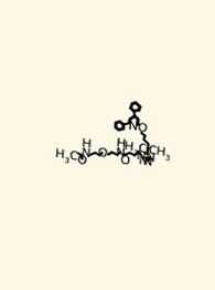 CCC(=O)NCCCOCCCNC(=O)CCCn1nnnc1C(C)(C)CCCCOc1cc(-c2ccccc2)cc(-c2ccccc2)n1